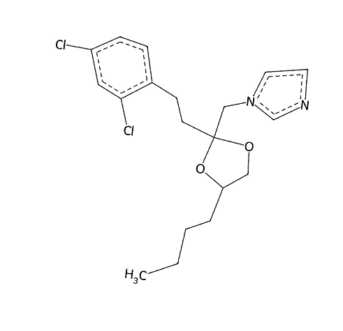 CCCCC1COC(CCc2ccc(Cl)cc2Cl)(Cn2ccnc2)O1